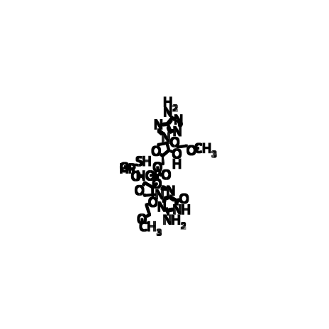 COCCOC1(n2cnc3c(=O)[nH]c(N)nc32)CO[C@H](CO[PH](=O)S)C1OP(=O)(O)OC[C@H]1OC[C@@](OCCOC)(n2cnc3c(N)ncnc32)[C@H]1O